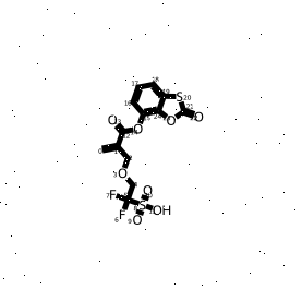 C=C(COCC(F)(F)S(=O)(=O)O)C(=O)Oc1cccc2sc(=O)oc12